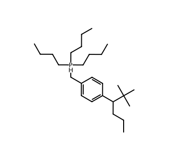 CCCC[PH](CCCC)(CCCC)Cc1ccc(C(CCC)C(C)(C)C)cc1